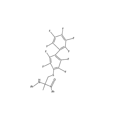 CC(C)NC(C)(CSc1c(F)c(F)c(-c2c(F)c(F)c(F)c(F)c2F)c(F)c1F)C(=O)C(C)C